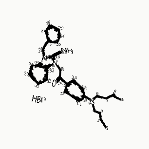 Br.CCCCN(CCCC)c1ccc(C(=O)Cn2c(=N)n(Cc3ccccc3)c3ccccc32)cc1